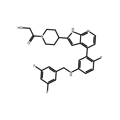 O=C(CO)N1CCC(c2cc3c(-c4cc(NCc5cc(F)cc(F)c5)ccc4F)ccnc3[nH]2)CC1